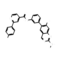 CC(C)Nc1ncc2cc(-c3cccc(NC(=O)c4ccnc(-c5ccc(F)cc5)c4)c3)c(O)cc2n1